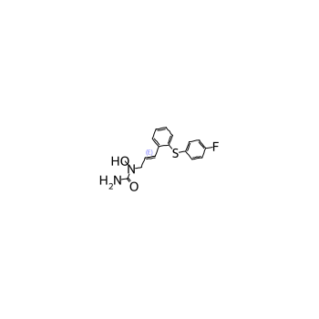 NC(=O)N(O)C/C=C/c1ccccc1Sc1ccc(F)cc1